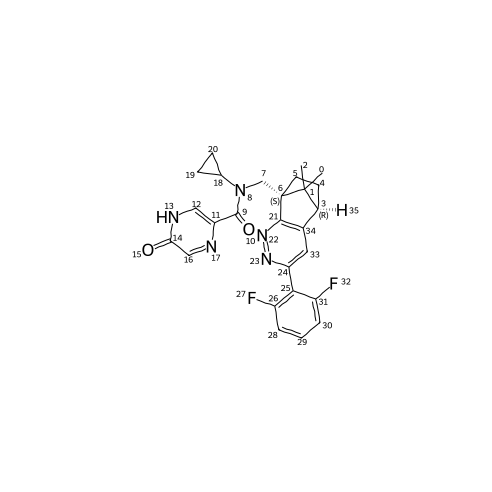 CC1(C)[C@H]2CC[C@]1(CN(C(=O)c1c[nH]c(=O)cn1)C1CC1)c1nnc(-c3c(F)cccc3F)cc12